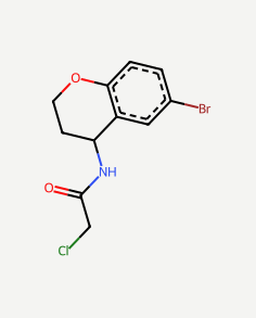 O=C(CCl)NC1CCOc2ccc(Br)cc21